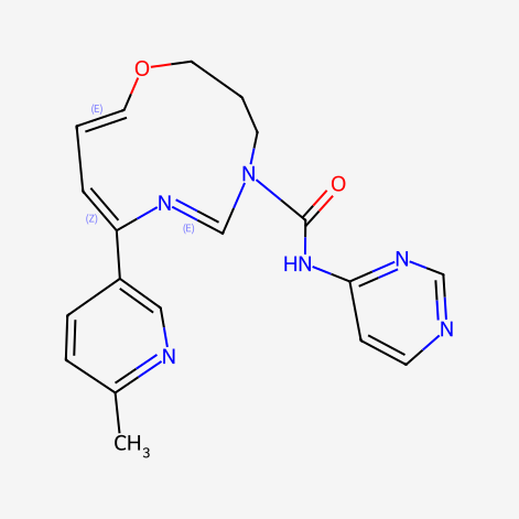 Cc1ccc(C2=C/C=C/OCCCN(C(=O)Nc3ccncn3)\C=N\2)cn1